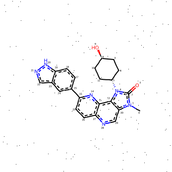 Cn1c(=O)n([C@H]2CC[C@H](O)CC2)c2c3nc(-c4ccc5[nH]ncc5c4)ccc3ncc21